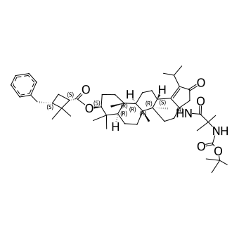 CC(C)C1=C2[C@H]3CC[C@@H]4[C@@]5(C)CC[C@H](OC(=O)[C@H]6C[C@@H](Cc7ccccc7)C6(C)C)C(C)(C)[C@@H]5CC[C@@]4(C)[C@]3(C)CC[C@@]2(NC(=O)C(C)(C)NC(=O)OC(C)(C)C)CC1=O